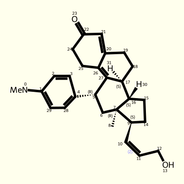 CNc1ccc([C@H]2C[C@]3(C)[C@H](/C=C\CO)CC[C@H]3[C@@H]3CCC4=CC(=O)CCC4=C32)cc1